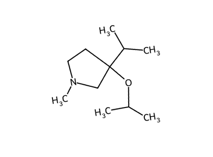 CC(C)OC1(C(C)C)CCN(C)C1